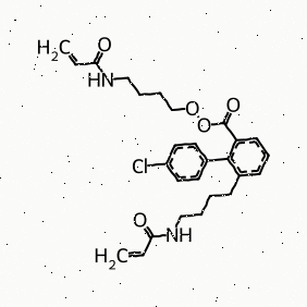 C=CC(=O)NCCCCOOC(=O)c1cccc(CCCCNC(=O)C=C)c1-c1ccc(Cl)cc1